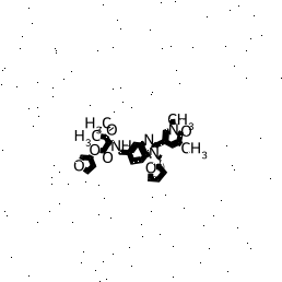 COC(C)C(NCc1ccc2c(c1)nc(-c1cc(C)c(=O)n(C)c1)n2C[C@@H]1CCCO1)C(=O)OC1CCOC1